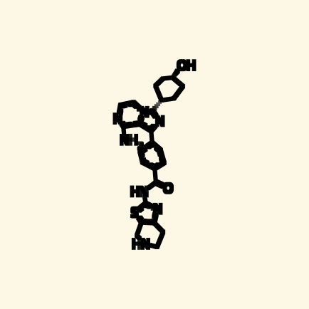 Nc1nccn2c1c(-c1ccc(C(=O)Nc3nc4c(s3)CNCC4)cc1)nc2[C@H]1CC[C@H](O)CC1